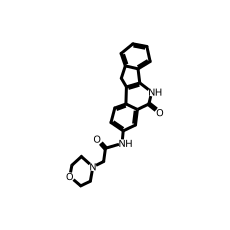 O=C(CN1CCOCC1)Nc1ccc2c3c([nH]c(=O)c2c1)-c1ccccc1C3